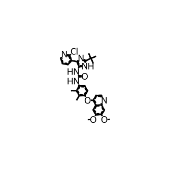 COc1cc2nccc(Oc3ccc(NC(=O)Nc4[nH]c(C(C)(C)C)nc4-c4cccnc4Cl)c(C)c3C)c2cc1OC